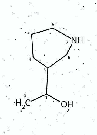 [CH2]C(O)C1CCCNC1